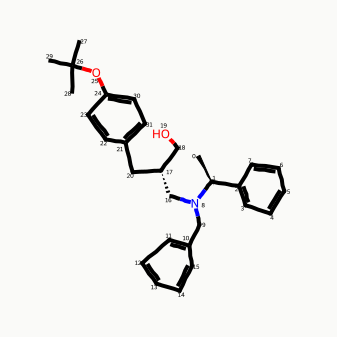 C[C@@H](c1ccccc1)N(Cc1ccccc1)C[C@@H](CO)Cc1ccc(OC(C)(C)C)cc1